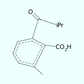 Cc1cccc(C(=O)C(C)C)c1C(=O)O